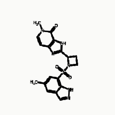 Cc1cc(S(=O)(=O)N2CCC2c2nc3ccn(C)c(=O)c3[nH]2)c2[nH]ncc2c1